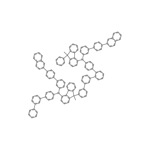 CC1(c2ccccc2)c2ccccc2-c2c(N(c3ccc(-c4ccccc4-c4cccc(-c5cccc(C6(C)c7ccccc7-c7c(N(c8ccc(-c9cccc(-c%10ccccc%10)c9)cc8)c8cccc(-c9ccc(-c%10ccc%11ccccc%11c%10)cc9)c8)cccc76)c5)c4)cc3)c3cccc(-c4ccc(-c5ccc6ccccc6c5)cc4)c3)cccc21